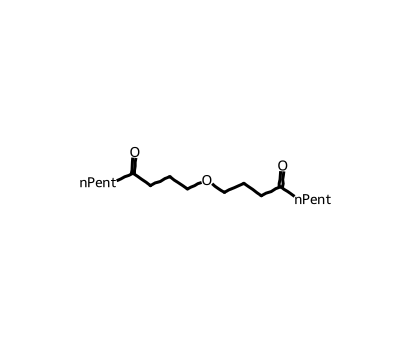 CCCCCC(=O)CCCOCCCC(=O)CCCCC